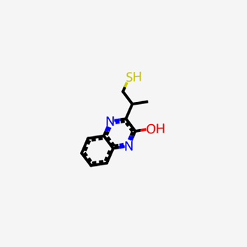 CC(CS)c1nc2ccccc2nc1O